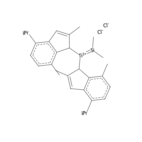 CC1=Cc2c(C(C)C)ccc(C)c2[CH]1[Ti+2]([CH]1C(C)=Cc2c(C(C)C)ccc(C)c21)=[Si](C)C.[Cl-].[Cl-]